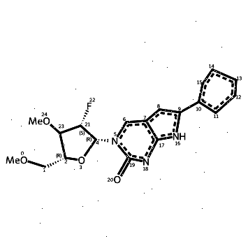 COC[C@H]1O[C@@H](n2cc3cc(-c4ccccc4)[nH]c3nc2=O)[C@@H](F)C1OC